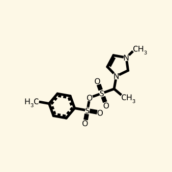 Cc1ccc(S(=O)(=O)OS(=O)(=O)C(C)N2C=CN(C)C2)cc1